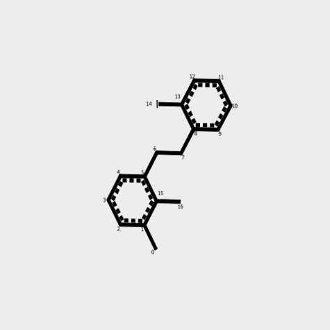 Cc1cccc(CCc2ccccc2I)c1C